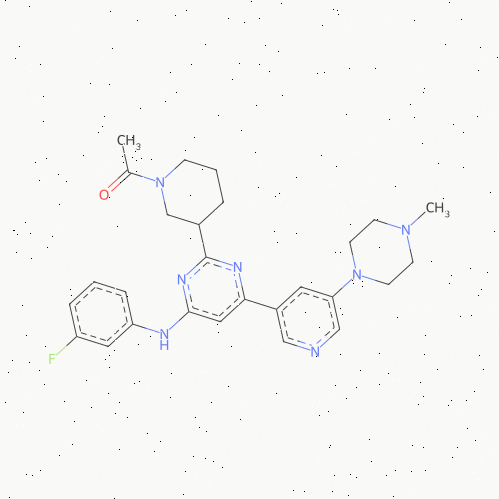 CC(=O)N1CCCC(c2nc(Nc3cccc(F)c3)cc(-c3cncc(N4CCN(C)CC4)c3)n2)C1